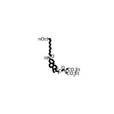 CCCCCCCC/C=C\CCCCCCCC(=O)N[C@H]1CC[C@@]2(C)C(CCC3C2CC[C@@]2(C)C3CC[C@@H]2[C@H](C)CCC(=O)N(CC(=O)OCC)CC(=O)OCC)C1